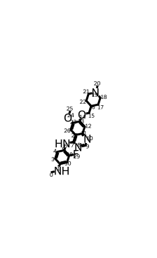 CNc1ccc(Nc2ncnc3cc(OCC4CCN(C)CC4)c(OC)cc23)c(F)c1